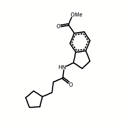 COC(=O)c1ccc2c(c1)C(NC(=O)CCC1CCCC1)CC2